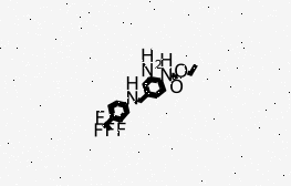 CCOC(=O)Nc1ccc(CNc2ccc(C(F)(F)F)c(F)c2)cc1N